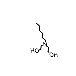 CCCCCCN(CCO)CCO